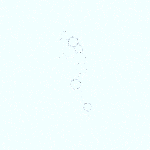 COC(=O)c1ccc2nc(CN3CCC(c4cccc(OCc5csc(C(C)=O)c5)n4)CC3)n(C[C@@H]3CCO3)c2c1